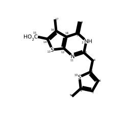 C=C1NC(Cc2ccc(C)s2)=Nc2sc(C(=O)O)c(C)c21